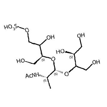 CC(=O)N[C@@H](C)[C@@H](OC(CO)[C@@H](O)CO)O[C@@H](CO)C(O)COS(=O)(=O)O